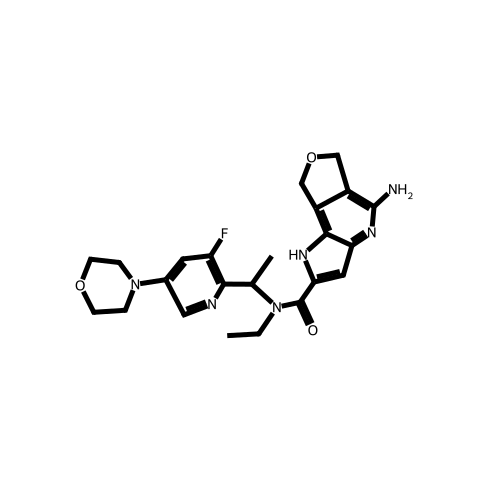 CCN(C(=O)c1cc2nc(N)c3c(c2[nH]1)COC3)C(C)c1ncc(N2CCOCC2)cc1F